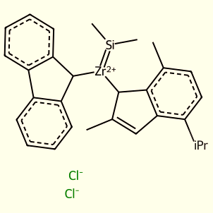 CC1=Cc2c(C(C)C)ccc(C)c2[CH]1[Zr+2]([CH]1c2ccccc2-c2ccccc21)=[Si](C)C.[Cl-].[Cl-]